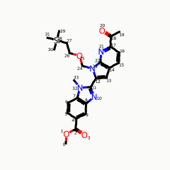 COC(=O)c1ccc2c(c1)nc(-c1cc3ccc(C(C)=O)nc3n1COCC[Si](C)(C)C)n2C